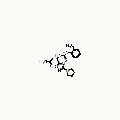 Cc1ccccc1NC(=S)N[C@@H](CC(N)=O)c1nc(N2CCCC2)no1